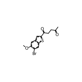 COc1cc2cc(C(=O)CCC(C)=O)sc2cc1Br